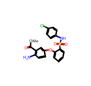 COC(=O)c1cc(Oc2ccccc2S(=O)(=O)Nc2ccc(Cl)cc2)ccc1N